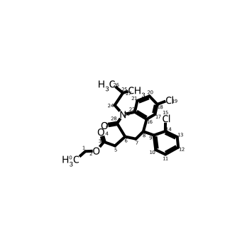 CCOC(=O)CC1CC(c2ccccc2Cl)c2cc(Cl)ccc2N(CC(C)C)C1=O